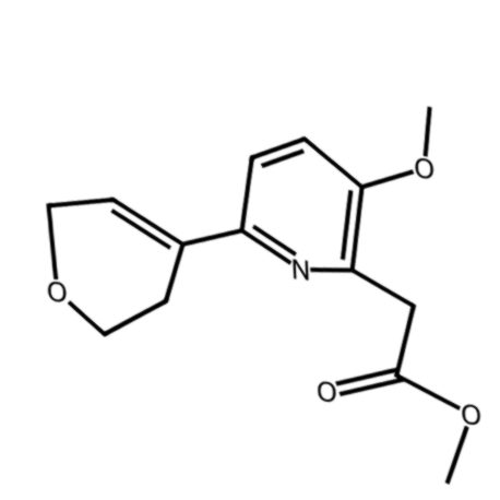 COC(=O)Cc1nc(C2=CCOCC2)ccc1OC